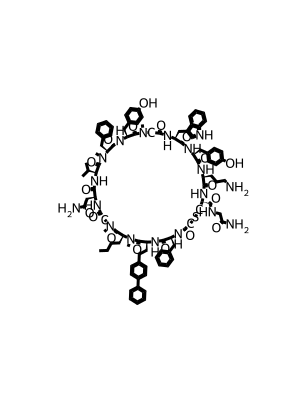 CCCC[C@H]1C(=O)N(C)CC(=O)N[C@@H](CC(N)=O)C(=O)N[C@@H](C(C)C)C(=O)N(C)[C@@H](Cc2ccccc2)C(=O)N[C@@H](Cc2ccc(O)cc2)C(=O)N(C)CC(=O)N[C@@H](Cc2c[nH]c3ccccc23)C(=O)N[C@@H](Cc2ccc(O)cc2)C(=O)N[C@@H](CCCN)C(=O)N[C@H](C(=O)NCC(N)=O)CSCC(=O)N[C@@H](Cc2ccccc2)C(=O)N[C@@H](CCc2ccc(-c3ccccc3)cc2)C(=O)N1C